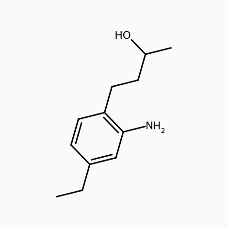 CCc1ccc(CCC(C)O)c(N)c1